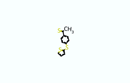 CC(=S)c1ccc(Sc2cccs2)cc1